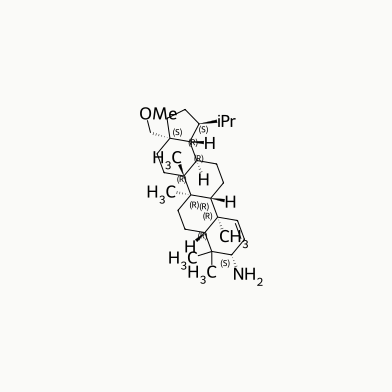 COC[C@]12CC[C@@H](C(C)C)[C@@H]1[C@H]1CC[C@@H]3[C@@]4(C)C=C[C@H](N)C(C)(C)[C@@H]4CC[C@@]3(C)[C@]1(C)CC2